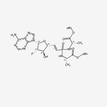 CCCCOC(=O)[C@H](C)NP(=O)(/C=C/[C@H]1O[C@@H](n2cnc3c(N)ncnc32)[C@@H](F)[C@@H]1O)N[C@@H](C)C(=O)OCCCC